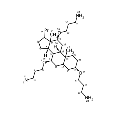 CC(C)C1CC[C@H]2C3[C@H](OCCCN)CC4C[C@H](OCCCN)CCC4(C)[C@H]3C[C@H](OCCCN)C12C